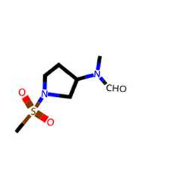 CN(C=O)C1CCN(S(C)(=O)=O)C1